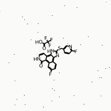 O=C(O)C(F)(F)F.O=c1[nH]ccc2c3[nH]c(Sc4ccc(F)nc4)nc3c3ccc(F)cc3c12